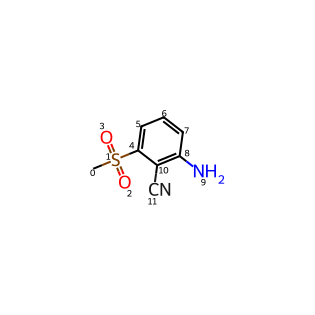 CS(=O)(=O)c1cccc(N)c1C#N